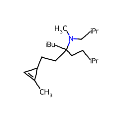 CCC(C)C(CCC(C)C)(CCC1C=C1C)N(C)CC(C)C